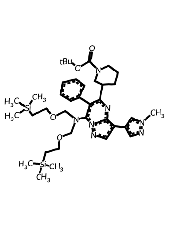 Cn1cc(-c2cnn3c(N(COCC[Si](C)(C)C)COCC[Si](C)(C)C)c(-c4ccccc4)c(C4CCCN(C(=O)OC(C)(C)C)C4)nc23)cn1